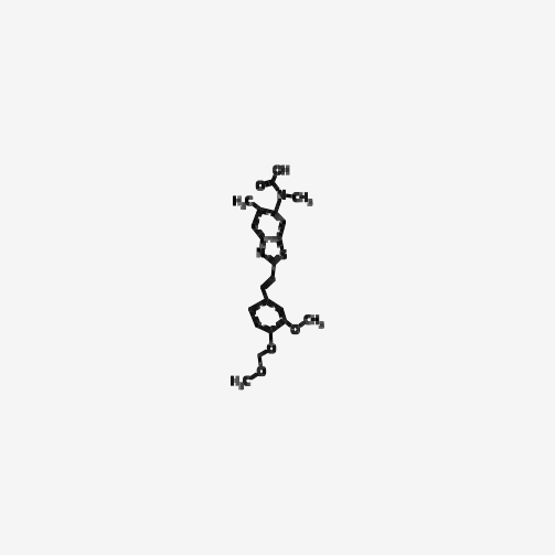 COCOc1ccc(/C=C/c2nc3cc(C)c(N(C)C(=O)O)cc3s2)cc1OC